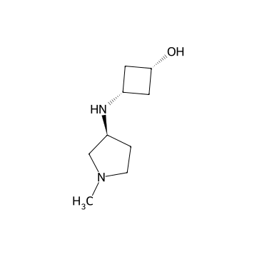 CN1CC[C@H](N[C@H]2C[C@@H](O)C2)C1